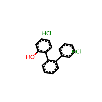 Cl.Cl.Oc1ccccc1-c1ccccc1-c1ccccc1